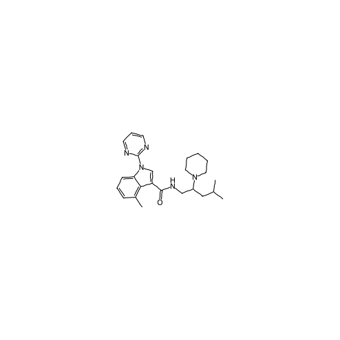 Cc1cccc2c1c(C(=O)NCC(CC(C)C)N1CCCCC1)cn2-c1ncccn1